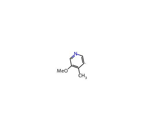 COc1cnc[c]c1C